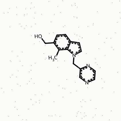 Cc1c(CO)ccc2ccn(Cc3cnccn3)c12